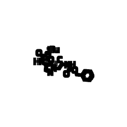 CC(C)(C)OC(=O)Nc1cnn(CC(NC(=O)OCc2ccccc2)C(=O)O)c1